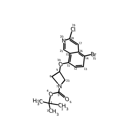 CC(C)(C)OC(=O)N1CC(Oc2ccc(Br)c3cc(Cl)ncc23)C1